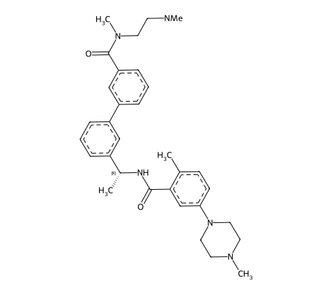 CNCCN(C)C(=O)c1cccc(-c2cccc([C@@H](C)NC(=O)c3cc(N4CCN(C)CC4)ccc3C)c2)c1